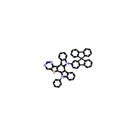 c1ccc(-n2c3ccccc3c3c2c2sc4cncnc4c2c2c4ccccc4n(-c4ccc5c(c4)C4(c6ccccc6-c6ccccc64)c4ccccc4-5)c23)cc1